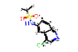 CC(C)S(=O)(=O)Nc1ccc2cncc(Cl)c2c1